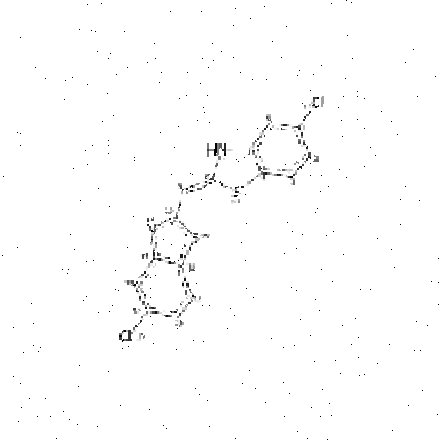 Clc1ccc2c(c1)N/C(=C/c1nc3cc(Cl)ccc3s1)S2